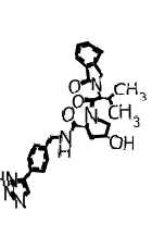 CC(C)[C@@H](C(=O)N1C[C@H](O)C[C@H]1C(=O)NCc1ccc(-c2cnn[nH]2)cc1)N1Cc2ccccc2C1=O